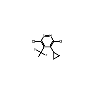 FC(F)(F)c1c(Cl)nnc(Cl)c1C1CC1